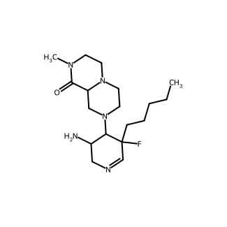 CCCCCC1(F)C=NCC(N)C1N1CCN2CCN(C)C(=O)C2C1